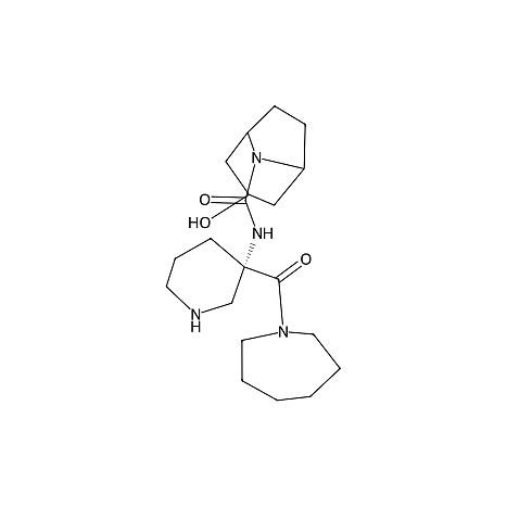 O=C(N[C@@]1(C(=O)N2CCCCCC2)CCCNC1)N1C2CCC1CC(O)C2